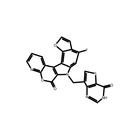 O=c1[nH]cnc2c(Cn3c4cc(F)c5ccoc5c4c4c5cccnc5oc(=O)c43)csc12